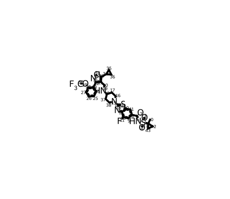 CC1(S(=O)(=O)NC(=O)c2cc(F)c3nc(N4CCC(NCc5c(-c6ccccc6OC(F)(F)F)noc5C5CC5)CC4)sc3c2)CC1